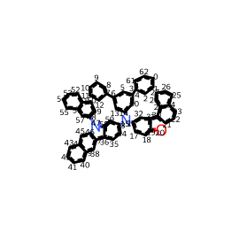 c1ccc(-c2cc(-c3ccccc3)cc(N(c3ccc4oc5ccc6ccccc6c5c4c3)c3ccc4c5cc6ccccc6cc5n(-c5ccc6ccccc6c5)c4c3)c2)cc1